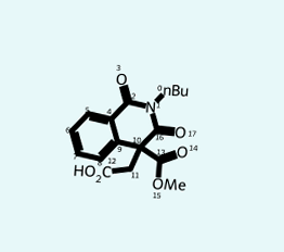 CCCCN1C(=O)c2ccccc2C(CC(=O)O)(C(=O)OC)C1=O